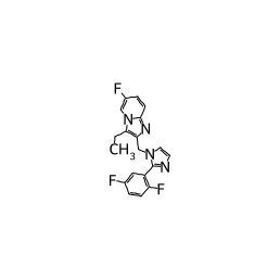 CCc1c(Cn2ccnc2-c2cc(F)ccc2F)nc2ccc(F)cn12